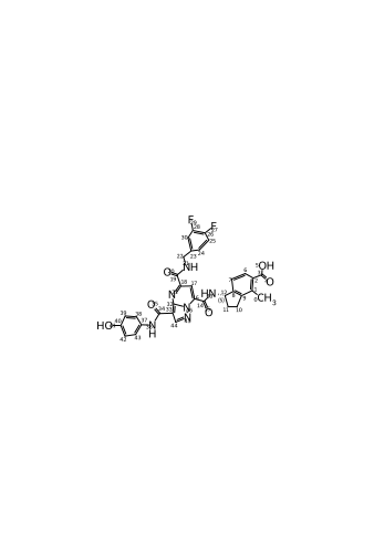 Cc1c(C(=O)O)ccc2c1CC[C@@H]2NC(=O)c1cc(C(=O)NCc2ccc(F)c(F)c2)nc2c(C(=O)Nc3ccc(O)cc3)cnn12